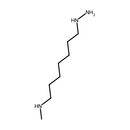 CNCCCCCCCNN